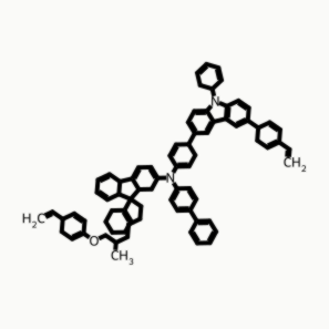 C=CC1=CCC(c2ccc3c(c2)c2cc(C4C=CC(N(C5=CC=C6C7C=CC=CC7C(CCCCC(C)COC7=CCC(C=C)C=C7)(C7=CCCCC7)C6C5)c5ccc(-c6ccccc6)cc5)=CC4)ccc2n3C2C=CC=CC2)C=C1